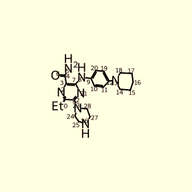 CCc1nc(C(N)=O)c(Nc2ccc(N3CCCCC3)cc2)nc1N1CCNCC1